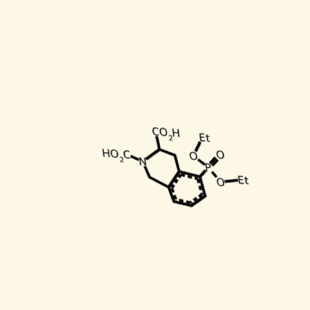 CCOP(=O)(OCC)c1cccc2c1CC(C(=O)O)N(C(=O)O)C2